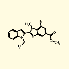 CCn1c(-c2nc3cc(C(=O)OC)cc(Br)c3n2C)cc2ccccc21